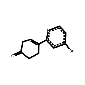 O=C1CC=C(c2cc(Br)ccn2)CC1